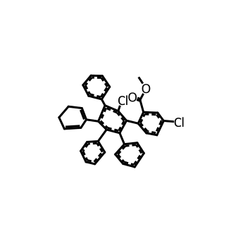 COC(=O)c1cc(Cl)ccc1-c1c(Cl)c(-c2ccccc2)c(C2=CCCC=C2)c(-c2ccccc2)c1-c1ccccc1